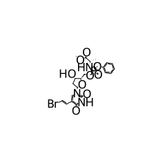 COC(=O)[C@H](C)NP(=O)(OC[C@H]1O[C@@H](n2cc(/C=C/Br)c(=O)[nH]c2=O)CC1O)Oc1ccccc1